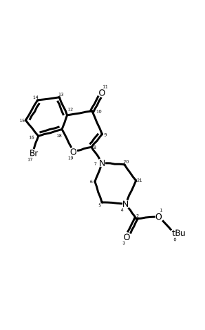 CC(C)(C)OC(=O)N1CCN(c2cc(=O)c3cccc(Br)c3o2)CC1